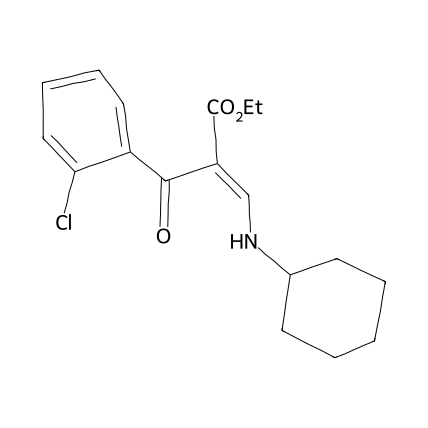 CCOC(=O)C(=CNC1CCCCC1)C(=O)c1ccccc1Cl